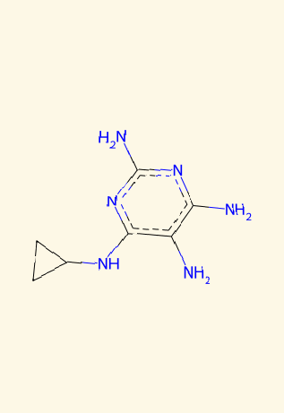 Nc1nc(N)c(N)c(NC2CC2)n1